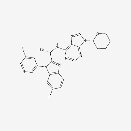 CC[C@H](Nc1ncnc2c1ncn2C1CCCCO1)c1nc2ccc(F)cc2n1-c1cncc(F)c1